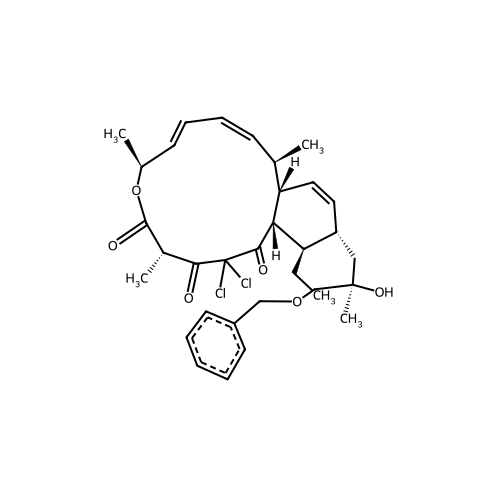 CC[C@H]1[C@@H]2C(=O)C(Cl)(Cl)C(=O)[C@H](C)C(=O)O[C@@H](C)/C=C/C=C\[C@@H](C)[C@@H]2C=C[C@@H]1C[C@@](C)(O)COCc1ccccc1